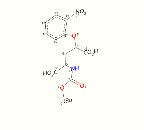 CC(C)(C)OC(=O)NC(CC(Oc1ccccc1[N+](=O)[O-])C(=O)O)C(=O)O